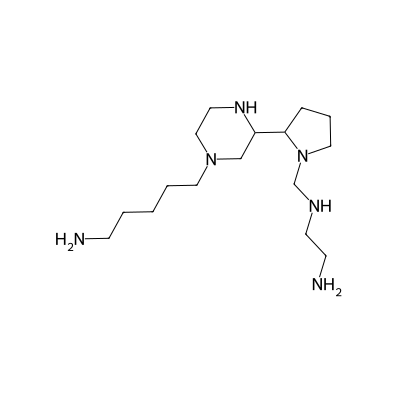 NCCCCCN1CCNC(C2CCCN2CNCCN)C1